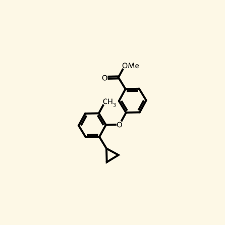 COC(=O)c1cccc(Oc2c(C)cccc2C2CC2)c1